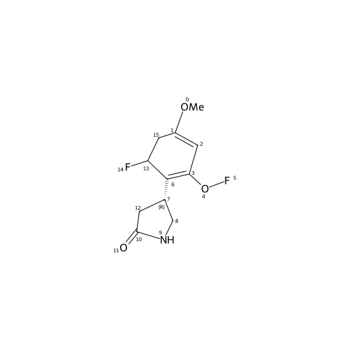 COC1=CC(OF)=C([C@@H]2CNC(=O)C2)C(F)C1